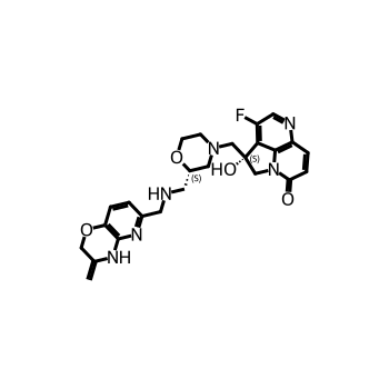 C=C1COc2ccc(CNC[C@H]3CN(C[C@]4(O)Cn5c(=O)ccc6ncc(F)c4c65)CCO3)nc2N1